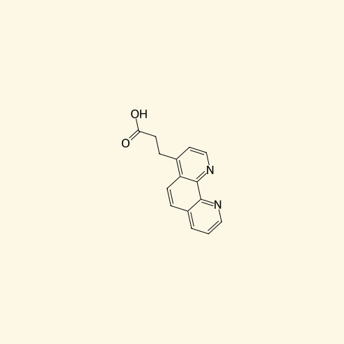 O=C(O)CCc1ccnc2c1ccc1cccnc12